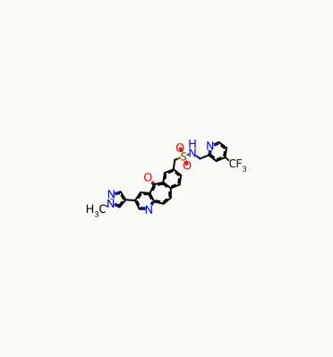 Cn1cc(-c2cnc3ccc4ccc(CS(=O)(=O)NCc5cc(C(F)(F)F)ccn5)cc4c(=O)c3c2)cn1